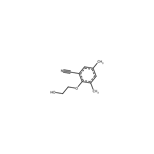 Cc1cc(C)c(OCCO)c(C#N)c1